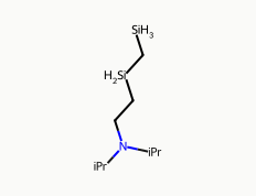 CC(C)N(CC[SiH2]C[SiH3])C(C)C